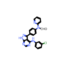 O=CN(c1ccc(-c2n[nH]c3ncnc(Nc4cccc(Cl)c4)c23)cc1)c1ccccn1